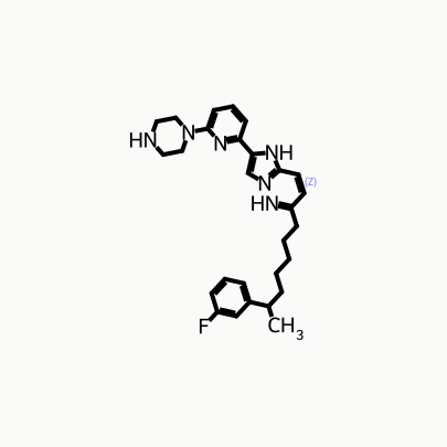 CC(CCCCCC(=N)/C=C\c1ncc(-c2cccc(N3CCNCC3)n2)[nH]1)c1cccc(F)c1